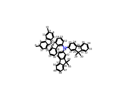 Cc1ccc([Si]2(c3ccc(C)cc3)c3ccccc3-c3c(N(c4ccc5c(c4)C(C)(C)c4ccccc4-5)c4ccc5c(c4)C(C)(C)c4ccccc4-5)cccc32)cc1